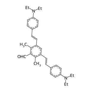 CCN(CC)c1ccc(/C=C/c2cc(/C=C/c3ccc(N(CC)CC)cc3)c(C)c(C=O)c2C)cc1